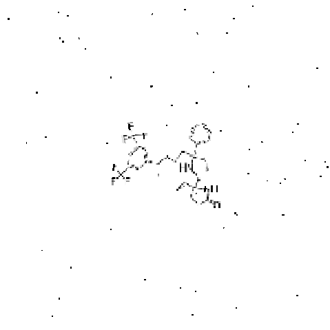 C=C[C@@]1(CN[C@](C=C)(CCC[C@H](C)c2cc(C(F)(F)F)cc(C(F)(F)F)c2)c2ccccc2)CCC(=O)N1